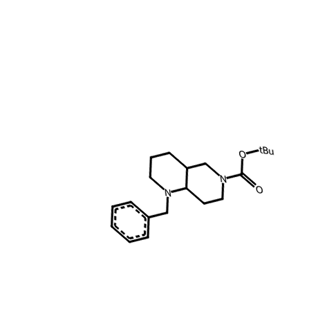 CC(C)(C)OC(=O)N1CCC2C(CCCN2Cc2ccccc2)C1